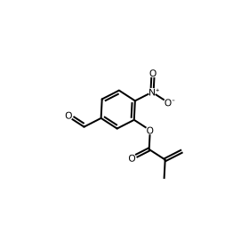 C=C(C)C(=O)Oc1cc(C=O)ccc1[N+](=O)[O-]